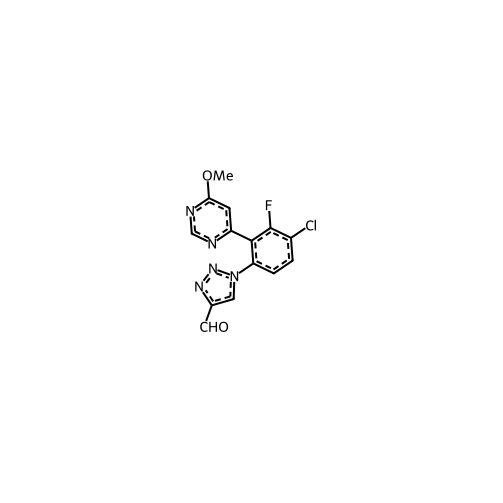 COc1cc(-c2c(-n3cc(C=O)nn3)ccc(Cl)c2F)ncn1